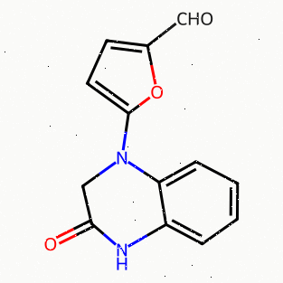 O=Cc1ccc(N2CC(=O)Nc3ccccc32)o1